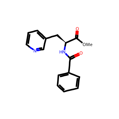 COC(=O)[C@H](Cc1cccnc1)NC(=O)c1ccccc1